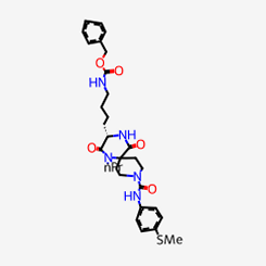 CCCN1C(=O)[C@H](CCCCNC(=O)OCc2ccccc2)NC(=O)C12CCN(C(=O)Nc1ccc(SC)cc1)CC2